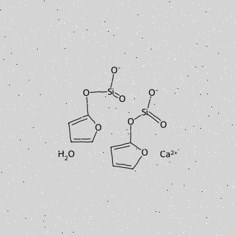 O.O=[Si]([O-])Oc1ccco1.O=[Si]([O-])Oc1ccco1.[Ca+2]